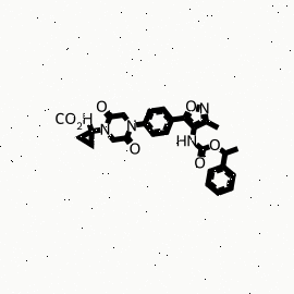 Cc1noc(-c2ccc(N3CC(=O)N(C4(C(=O)O)CC4)CC3=O)cc2)c1NC(=O)OC(C)c1ccccc1